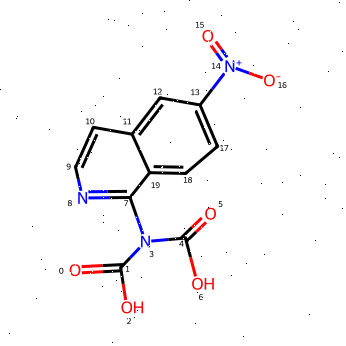 O=C(O)N(C(=O)O)c1nccc2cc([N+](=O)[O-])ccc12